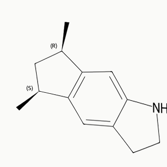 C[C@@H]1C[C@H](C)c2cc3c(cc21)NCC3